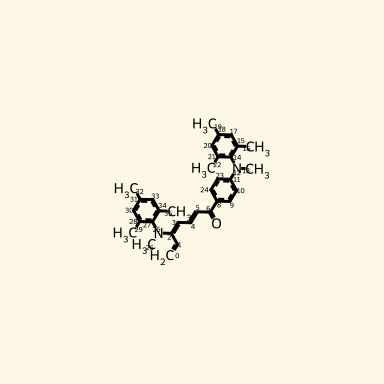 C=C/C(=C\C=C\C(=O)c1ccc(N(C)c2c(C)cc(C)cc2C)cc1)N(C)c1c(C)cc(C)cc1C